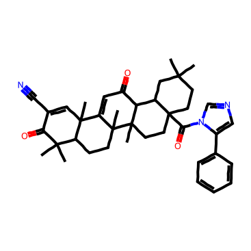 CC1(C)CCC2(C(=O)n3cncc3-c3ccccc3)CCC3(C)C(C(=O)C=C4C5(C)C=C(C#N)C(=O)C(C)(C)C5CCC43C)C2C1